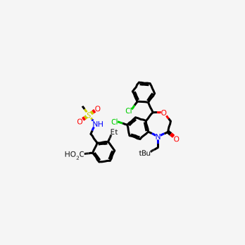 CC(C)(C)CN1C(=O)COC(c2ccccc2Cl)c2cc(Cl)ccc21.CCc1cccc(C(=O)O)c1CNS(C)(=O)=O